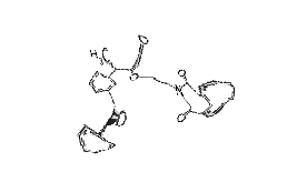 CC(C(=O)OCCN1C(=O)c2ccccc2C1=O)c1cccc(C(=O)c2ccccc2)c1